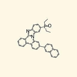 CCP(=O)(CC)c1ccc2nc3c4ccccc4c4ccc(-c5ccc6ccccc6c5)cc4n3c2c1